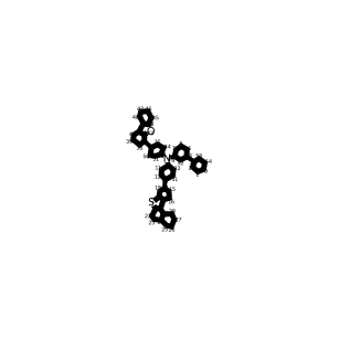 c1ccc(-c2cccc(N(c3ccc(-c4ccc5c(c4)sc4ccc6ccccc6c45)cc3)c3ccc(-c4cccc5c4oc4ccccc45)cc3)c2)cc1